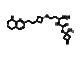 CC1(OC(=O)NC(CCO[C@H]2C[C@H](CCc3ccc4c(n3)NCCC4)C2)C(=O)O)CNC1